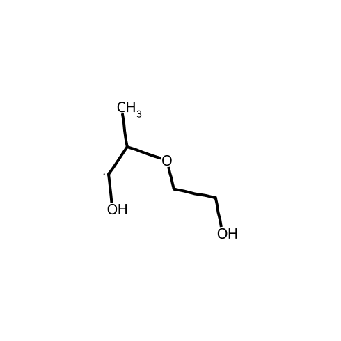 CC([CH]O)OCCO